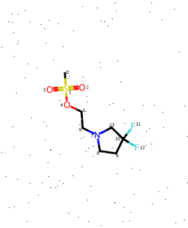 CS(=O)(=O)OCCN1CCC(F)(F)C1